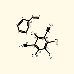 C=Cc1ccccc1.N#Cc1c(Cl)c(Cl)c(Cl)c(C#N)c1Cl